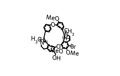 COc1ccc2cc1Oc1ccc(cc1)C[C@H]1c3cc(c(CO)cc3CCN1C)Oc1c(OC)c(OC)c(Br)c3c1[C@H](C2)N(C)CC3